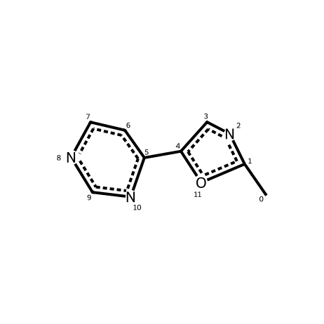 Cc1ncc(-c2ccncn2)o1